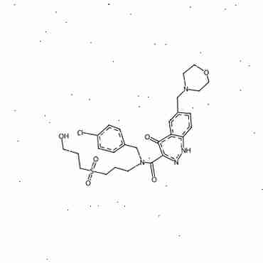 O=C(c1n[nH]c2ccc(CN3CCOCC3)cc2c1=O)N(CCCS(=O)(=O)CCCO)Cc1ccc(Cl)cc1